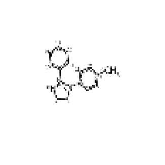 Cc1ccc(N2CCN=C2c2ccccc2)cc1